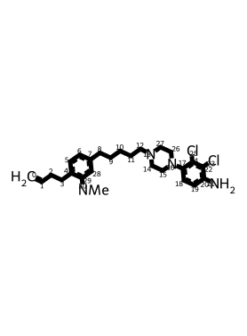 C=CCCc1ccc(CCCCCN2CCN(c3ccc(N)c(Cl)c3Cl)CC2)cc1NC